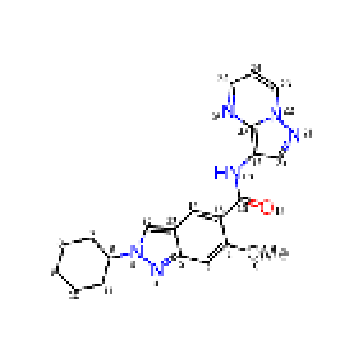 COc1cc2nn(C3CCCCC3)cc2cc1C(=O)Nc1cnn2cccnc12